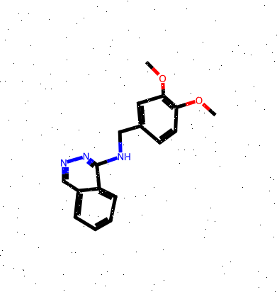 COc1ccc(CNc2nncc3ccccc23)cc1OC